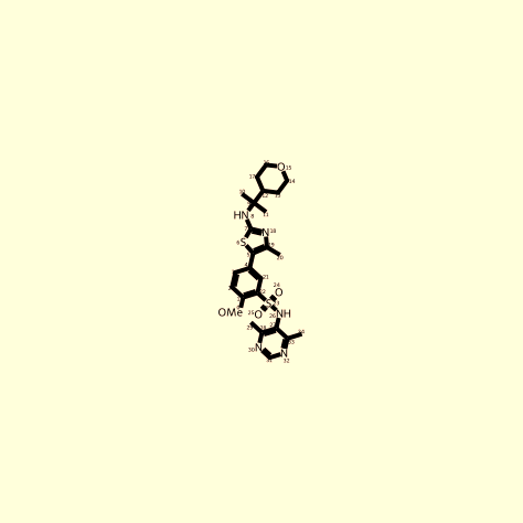 COc1ccc(-c2sc(NC(C)(C)C3CCOCC3)nc2C)cc1S(=O)(=O)Nc1c(C)ncnc1C